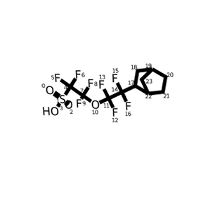 O=S(=O)(O)C(F)(F)C(F)(F)OC(F)(F)C(F)(F)C1CC2CCC1C2